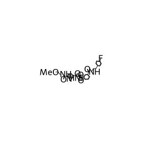 COCCNC(=O)c1ccc(C(=O)NS(=O)(=O)c2cccc(C(=O)NCCc3ccc(F)cc3)c2)cn1